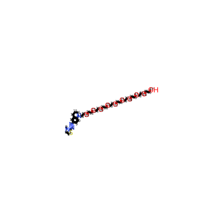 C[n+]1ccsc1/N=N/c1ccc2c(c1)CCCN2CCOCCOCCOCCOCCOCCOCCOCCOCCOCCO